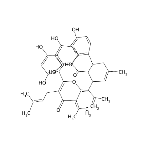 C=C(C)/C(=c1/oc(-c2ccc(O)cc2O)c(CC=C(C)C)c(=O)c1=C(C)C)C1C=C(C)CC(c2ccc(O)cc2O)C1C(=O)c1ccc(O)cc1O